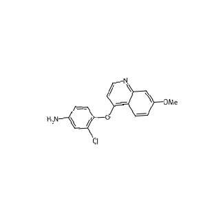 COc1ccc2c(Oc3ccc(N)cc3Cl)ccnc2c1